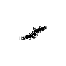 C[SiH](C)c1ccc2c(c1)sc1c(Br)c(-c3sc4c(Br)c(-c5oc6c(sc7cc([Si](C)(C)C)ccc76)c5Br)sc4c3Br)oc12